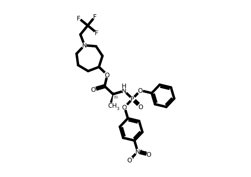 C[C@H](NP(=O)(Oc1ccccc1)Oc1ccc([N+](=O)[O-])cc1)C(=O)OC1CCCN(CC(F)(F)F)CC1